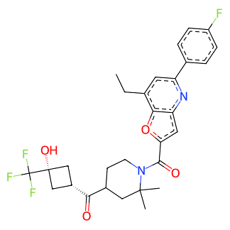 CCc1cc(-c2ccc(F)cc2)nc2cc(C(=O)N3CCC(C(=O)[C@H]4C[C@](O)(C(F)(F)F)C4)CC3(C)C)oc12